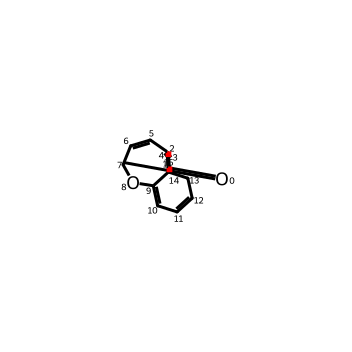 O=C1CC=C2C=CCOC3=CC=CCC23C1